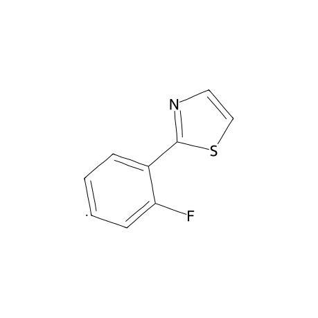 Fc1c[c]ccc1-c1nccs1